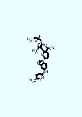 C=CC(F)(F)Cn1cc(-c2nc(-n3cnc4cc(Nc5ccc(C)nn5)ccc43)ccc2C(C)O)c(C)n1